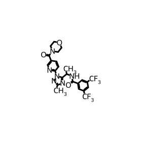 Cc1nc(C(C)NC(=O)c2cc(C(F)(F)F)cc(C(F)(F)F)c2)n(-c2ccc(C(=O)N3CCOCC3)cn2)n1